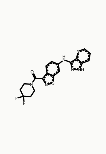 O=C(c1nsc2cc(Nc3n[nH]c4cccnc34)ccc12)N1CCC(F)(F)CC1